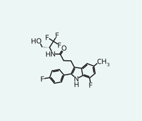 Cc1cc(F)c2[nH]c(-c3ccc(F)cc3)c(CCC(=O)N[C@H](CO)C(F)(F)F)c2c1